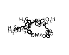 COc1ccc(-c2cc(CCC[N+](C)(C)C)c3n2[B-](F)(F)[N+]2=C(CCC(=O)NC(CS(=O)(=O)O)C(=O)NCCCCC(=O)ON4C(=O)CCC4=O)C=C(C)C2=C3)cc1